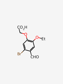 CCOc1cc(C=O)c(Br)cc1OCC(=O)O